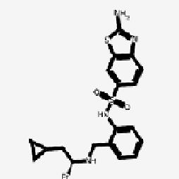 CC[C@@H](CC1CC1)NCc1ccccc1NS(=O)(=O)c1ccc2nc(N)sc2c1